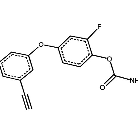 C#Cc1cccc(Oc2ccc(OC(N)=O)c(F)c2)c1